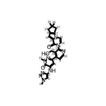 Cn1cc(Nc2cc(-c3ccnc(-n4ccn5c6c(cc5c4=O)CC(C)(C)C6)c3CO)nn(C)c2=O)nn1